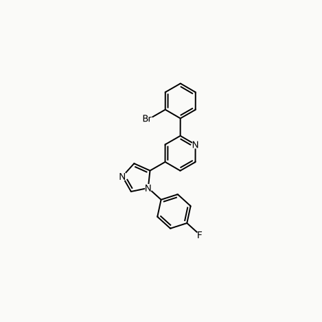 Fc1ccc(-n2cncc2-c2ccnc(-c3ccccc3Br)c2)cc1